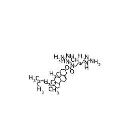 CC(C)CCCC(C)C1CCC2C3CC=C4CC(OC(=O)N(CCCCNC(N)N)C(C)NC(N)N)CCC4(C)C3CCC12C